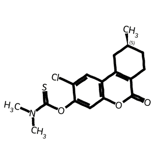 C[C@H]1CCc2c(c3cc(Cl)c(OC(=S)N(C)C)cc3oc2=O)C1